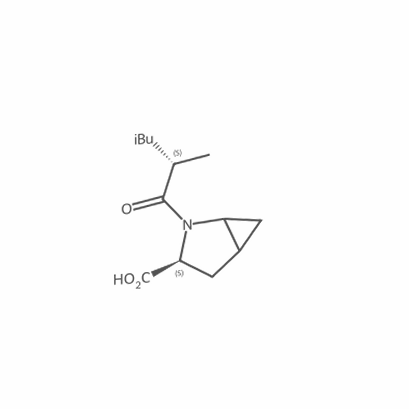 CCC(C)[C@H](C)C(=O)N1C2CC2C[C@H]1C(=O)O